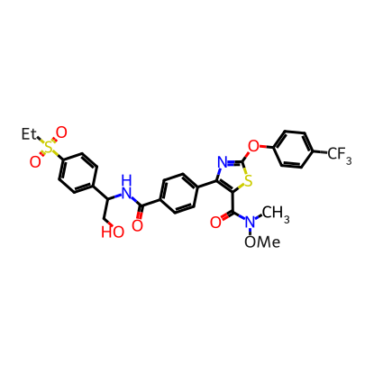 CCS(=O)(=O)c1ccc(C(CO)NC(=O)c2ccc(-c3nc(Oc4ccc(C(F)(F)F)cc4)sc3C(=O)N(C)OC)cc2)cc1